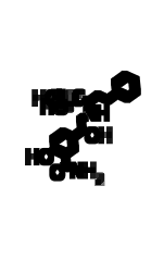 CC(CCc1ccccc1)NCC(O)c1ccc(O)c(C(N)=O)c1.CCO.Cl